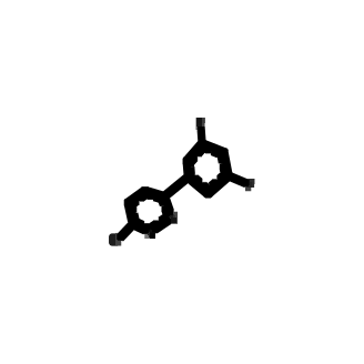 Fc1cc(F)cc(-c2ccc(Cl)nn2)c1